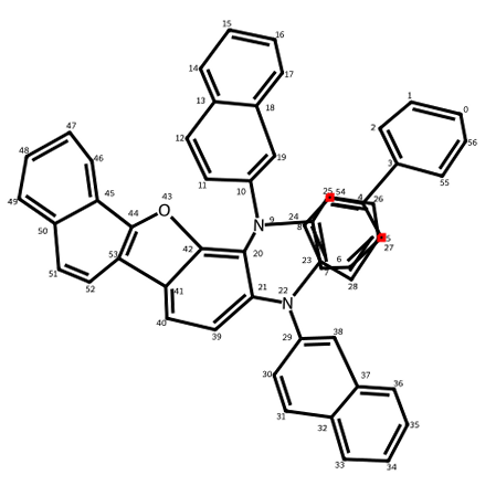 c1ccc(-c2cccc(N(c3ccc4ccccc4c3)c3c(N(c4ccccc4)c4ccc5ccccc5c4)ccc4c3oc3c5ccccc5ccc43)c2)cc1